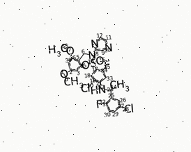 COc1ccc(CN(c2cnccn2)S(=O)(=O)c2cc(Cl)c(N[C@@H](C)c3cc(Cl)ccc3F)cc2F)c(OC)c1